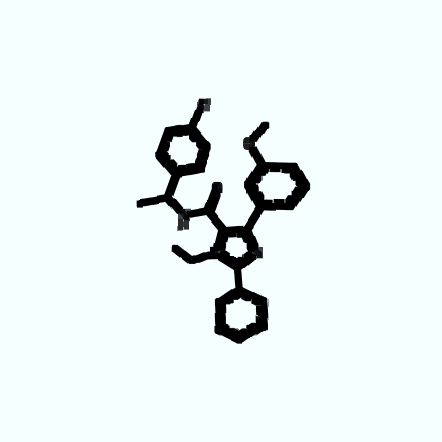 CCn1c(-c2ccccc2)nc(-c2cccc(OC)c2)c1C(=O)NC(C)c1ccc(Cl)cc1